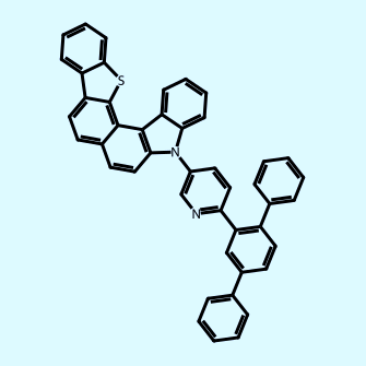 c1ccc(-c2ccc(-c3ccccc3)c(-c3ccc(-n4c5ccccc5c5c6c(ccc7c8ccccc8sc76)ccc54)cn3)c2)cc1